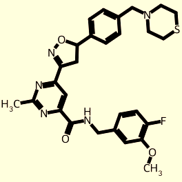 COc1cc(CNC(=O)c2cc(C3=NOC(c4ccc(CN5CCSCC5)cc4)C3)nc(C)n2)ccc1F